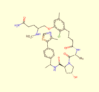 Cc1cc(CCCC(=O)NC(C(=O)N2C[C@H](O)C[C@H]2C(=O)NC(C)c2ccc(-c3scnc3C)cc2)C(C)(C)C)c(Cl)c(OCC(CCC(N)=O)NC(=O)O)c1